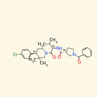 CC(C)[C@@H](NC(=O)[C@@H]1CCN(C(=O)c2ccccc2)C1)C(=O)N1CC[C@H](c2ccc(Cl)cc2)C(C)(C)C1